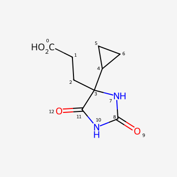 O=C(O)CCC1(C2CC2)NC(=O)NC1=O